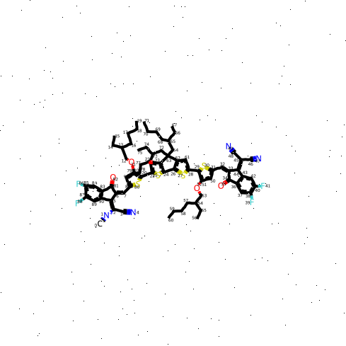 [C-]#[N+]/C(C#N)=C1/C(=C/c2cc(OCC(CC)CCCC)c(-c3cc4c(s3)-c3sc(-c5sc(/C=C6\C(=O)c7cc(F)c(F)cc7C6=C(C#N)C#N)cc5OCC(CC)CCCC)cc3C4(CC(CC)CCCC)CC(CC)CCCC)s2)C(=O)c2cc(F)c(F)cc21